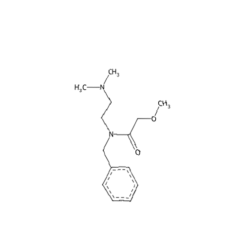 COCC(=O)N(CCN(C)C)Cc1ccccc1